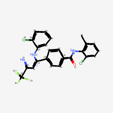 Cc1cccc(Cl)c1NC(=O)c1ccc(/C(=C/C(=N)C(F)(F)F)Nc2ccccc2Cl)cc1